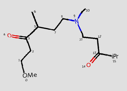 COCCC(=O)C(C)CCN(C)CCC(=O)C(C)C